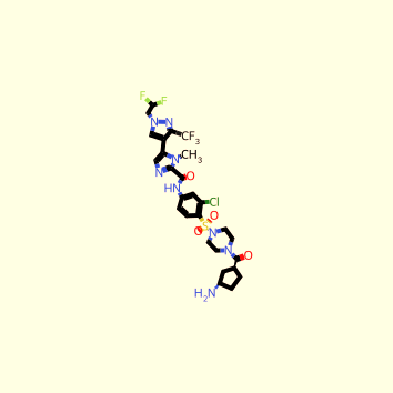 Cn1c(-c2cn(CC(F)F)nc2C(F)(F)F)cnc1C(=O)Nc1ccc(S(=O)(=O)N2CCN(C(=O)[C@H]3CC[C@@H](N)C3)CC2)c(Cl)c1